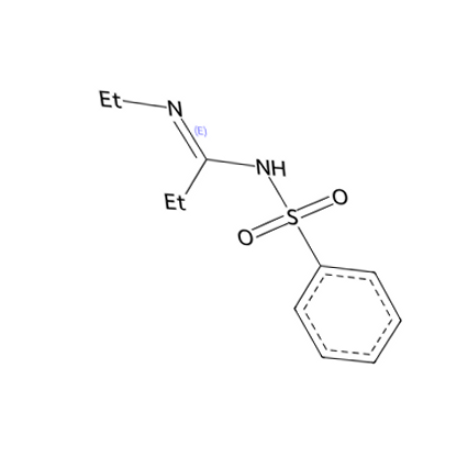 CC/N=C(\CC)NS(=O)(=O)c1ccccc1